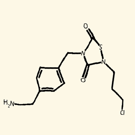 NCc1ccc(Cn2c(=O)sn(CCCCl)c2=O)cc1